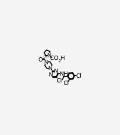 CC(Nc1nc(N2CCN(C(=O)[C@@H]3CCCN3C(=O)O)CC2)ncc1Cl)c1ccc(Cl)cc1Cl